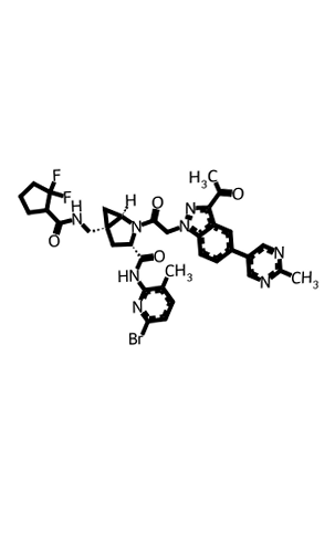 CC(=O)c1nn(CC(=O)N2[C@H](C(=O)Nc3nc(Br)ccc3C)C[C@@]3(CNC(=O)C4CCCC4(F)F)C[C@@H]23)c2ccc(-c3cnc(C)nc3)cc12